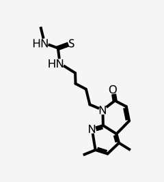 CNC(=S)NCCCCn1c(=O)ccc2c(C)cc(C)nc21